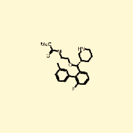 COC(=O)NCCOC(c1cccc(F)c1-c1cccc(C)c1)[C@@H]1CCCNC1